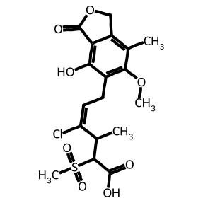 COc1c(C)c2c(c(O)c1C/C=C(/Cl)C(C)C(C(=O)O)S(C)(=O)=O)C(=O)OC2